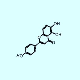 O=c1cc(-c2ccc(O)cc2)oc2ccc(O)c(O)c12